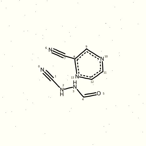 N#CNNC=O.N#Cc1cnccn1